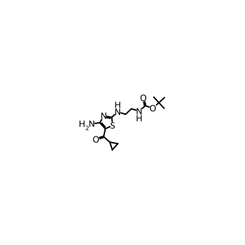 CC(C)(C)OC(=O)NCCNc1nc(N)c(C(=O)C2CC2)s1